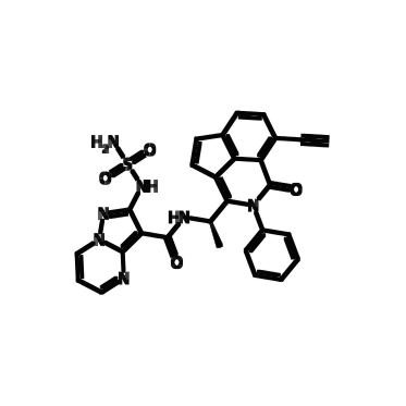 C#Cc1ccc2c3c(c([C@@H](C)NC(=O)c4c(NS(N)(=O)=O)nn5cccnc45)n(-c4ccccc4)c(=O)c13)C=C2